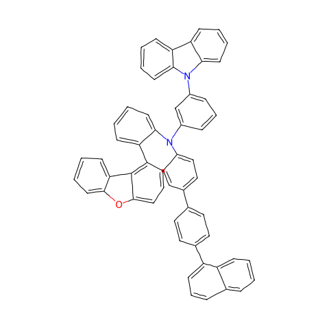 c1cc(N(c2ccc(-c3ccc(-c4cccc5ccccc45)cc3)cc2)c2ccccc2-c2cccc3oc4ccccc4c23)cc(-n2c3ccccc3c3ccccc32)c1